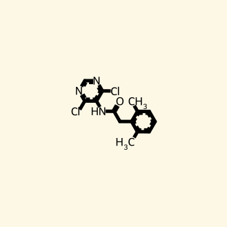 Cc1cccc(C)c1CC(=O)Nc1c(Cl)ncnc1Cl